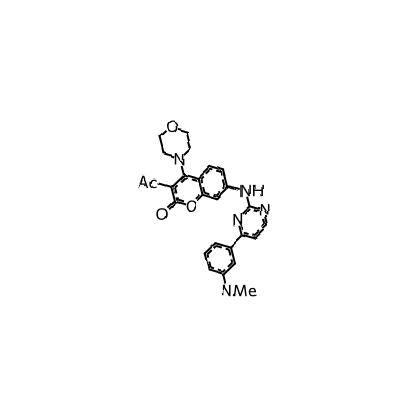 CNc1cccc(-c2ccnc(Nc3ccc4c(N5CCOCC5)c(C(C)=O)c(=O)oc4c3)n2)c1